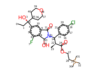 CC[C@@](O)(c1cc(F)c2c(c1)C(=O)N(C(c1ccc(Cl)cc1)[C@H](C)C(=O)OCCS(C)(C)C)C2O)C1CCOCC1